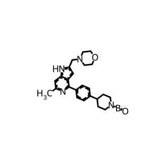 Cc1cc2[nH]c(CN3CCOCC3)cc2c(-c2ccc(C3CCN(B=O)CC3)cc2)n1